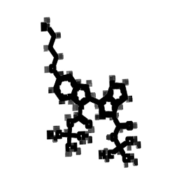 CC(C)(C)OC(=O)n1nc(-c2cc3cc(OCCCBr)ccc3n2C(=O)OC(C)(C)C)c2sccc21